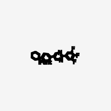 CCCC(C)C1(c2ccc(-c3cnc(-c4cc(F)c(F)c(F)c4)nc3)cc2)CCCCC1